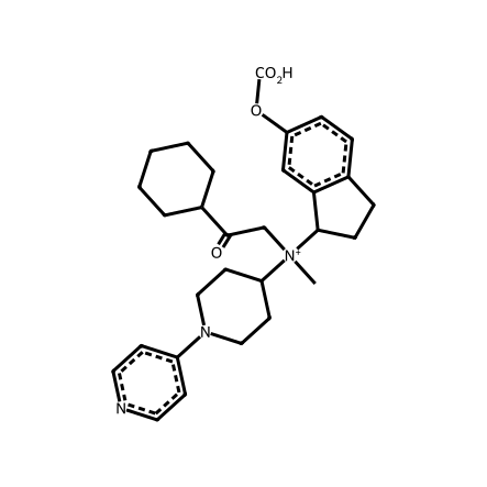 C[N+](CC(=O)C1CCCCC1)(C1CCN(c2ccncc2)CC1)C1CCc2ccc(OC(=O)O)cc21